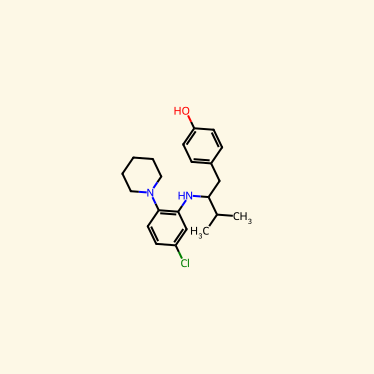 CC(C)C(Cc1ccc(O)cc1)Nc1cc(Cl)ccc1N1CCCCC1